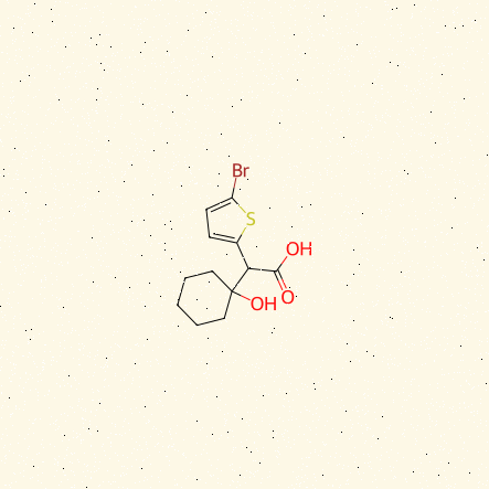 O=C(O)C(c1ccc(Br)s1)C1(O)CCCCC1